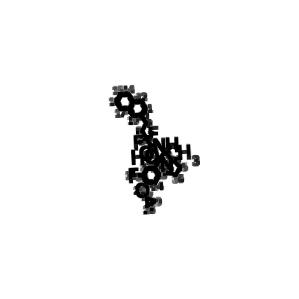 C[C@@H](NC(=O)C(F)(F)CCc1ccc2ccccc2c1)[C@](O)(c1ccc(OC2CC2)c(F)c1)N1CCCC1